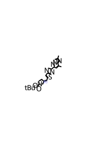 Cc1cn2nc(-c3cnc4cc(/C=C5\CCN(C(=O)OC(C)(C)C)C5)sc4n3)cc(C)c2n1